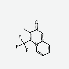 Cc1c(C(F)(F)F)n2ccccc2cc1=O